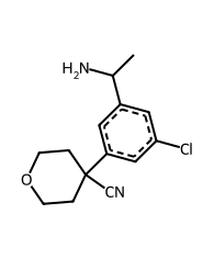 CC(N)c1cc(Cl)cc(C2(C#N)CCOCC2)c1